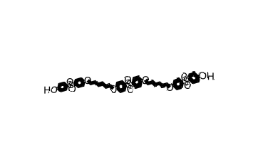 O=S(=O)(c1ccc(O)cc1)c1ccc(OCCCCCCOc2ccc(S(=O)(=O)c3ccc(OCCCCCCOc4ccc(S(=O)(=O)c5ccc(O)cc5)cc4)cc3)cc2)cc1